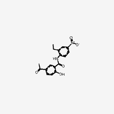 CCc1cc([N+](=O)[O-])ccc1NC(=O)c1cc(C(C)=O)ccc1O